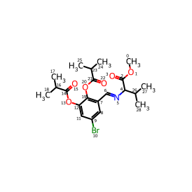 COC(=O)C(N=Cc1cc(Br)cc(OC(=O)C(C)C)c1OC(=O)C(C)C)C(C)C